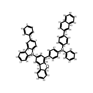 c1ccc(-c2ccc3c(c2)c2ccccc2n3-c2cc(-c3ccc(N(c4ccccc4)c4ccc(-c5ccc6ccccc6c5)cc4)cc3)c3oc4ccccc4c3c2)cc1